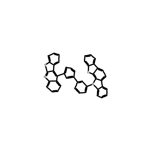 c1cc(-c2cccc(-n3c4ccccc4c4ccc5c6ccccc6oc5c43)c2)cc(-c2c3ccccc3nc3sc4ccccc4c23)c1